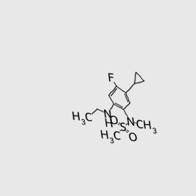 CCNc1cc(F)c(C2CC2)cc1N(C)S(C)(=O)=O